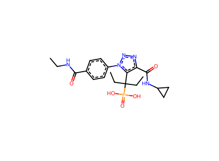 CCNC(=O)c1ccc(-n2nnc(C(=O)NC3CC3)c2C(CC)(CC)P(=O)(O)O)cc1